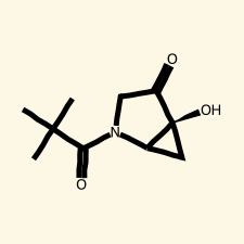 CC(C)(C)C(=O)N1CC(=O)[C@]2(O)CC12